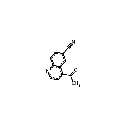 CC(=O)c1ccnc2ccc(C#N)cc12